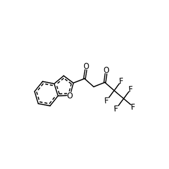 O=C(CC(=O)C(F)(F)C(F)(F)F)c1cc2ccccc2o1